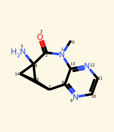 CN1C(=O)C2(N)C3C(c4nccnc41)C32